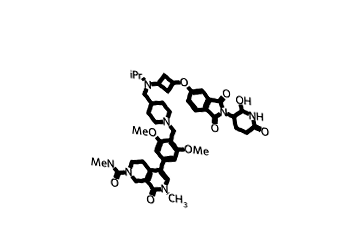 CNC(=O)N1CCc2c(-c3cc(OC)c(CN4CCC(CN(C(C)C)C5CC(Oc6ccc7c(c6)C(=O)N(C6CCC(=O)NC6O)C7=O)C5)CC4)c(OC)c3)cn(C)c(=O)c2C1